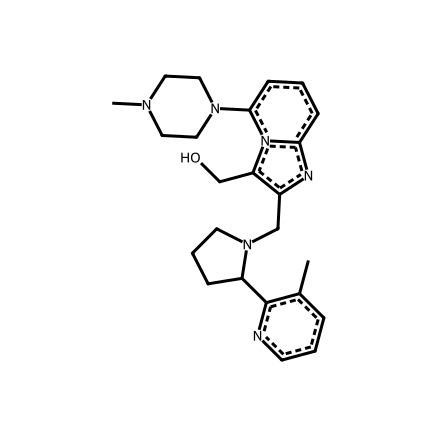 Cc1cccnc1C1CCCN1Cc1nc2cccc(N3CCN(C)CC3)n2c1CO